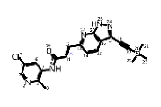 Cc1ncc(Cl)cc1NC(=O)/C=C/c1ccc2c(C#C[Si](C)(C)C)n[nH]c2n1